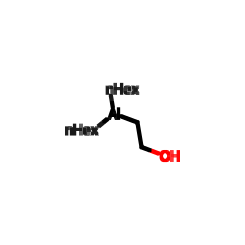 CCCCC[CH2][Al]([CH2]CO)[CH2]CCCCC